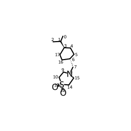 CC(C)[C@H]1CC[C@H](CN2CCS(=O)(=O)CC2)CC1